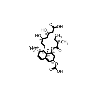 CC[C@H](C)C(=O)O[C@H]1C[C@H](OC(=O)O)C=C2C=C[C@H](C)[C@H](CC[C@@H](O)C[C@@H](O)CC(=O)O)[C@H]21.[NaH].[NaH]